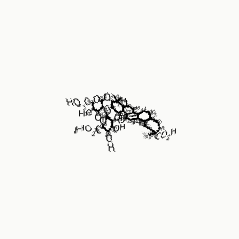 CC1(C)[C@@H](OC2O[C@H](C(=O)O)[C@@H](O)[C@H](O)[C@H]2O[C@@H]2O[C@H](C(=O)O)[C@@H](O)[C@H](O)[C@H]2O)CC[C@]2(C)[C@H]3C(=O)C=C4[C@@H]5C[C@@](C)(C(=O)O)CC[C@]5(C)CC[C@@]4(C)[C@]3(C)CC[C@@H]12